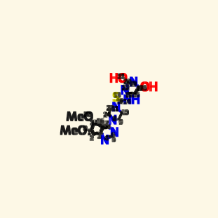 COc1cc2ncnc(N3CCN(C(=S)Nc4cc(O)nc(O)n4)CC3)c2cc1OC